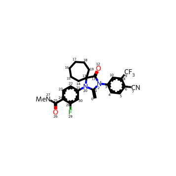 C=C1N(c2ccc(C#N)c(C(F)(F)F)c2)C(=O)C2(CCCCCC2)N1c1ccc(C(=O)NC)c(F)c1